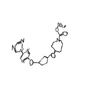 CC(C)(C)OC(=O)N1CCC(OC2CCC(Oc3cnc(-n4cncn4)cn3)CC2)CC1